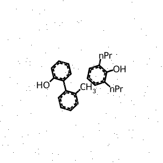 CCCc1cccc(CCC)c1O.Cc1ccccc1-c1ccccc1O